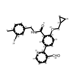 Cc1ccc(CNC(=O)c2cc(-c3ncccc3C=O)ccc2OCC2CC2)cc1F